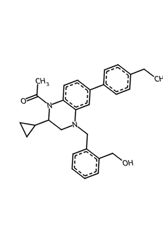 CCc1ccc(-c2ccc3c(c2)N(Cc2ccccc2CO)CC(C2CC2)N3C(C)=O)cc1